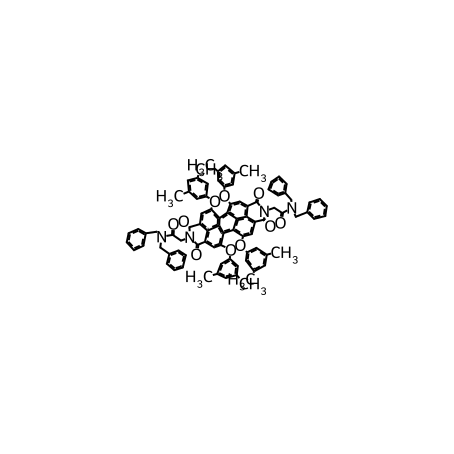 Cc1cc(C)cc(Oc2cc3c4c(cc(Oc5cc(C)cc(C)c5)c5c6c(Oc7cc(C)cc(C)c7)cc7c8c(cc(Oc9cc(C)cc(C)c9)c(c2c45)c86)C(=O)N(CC(=O)N(Cc2ccccc2)Cc2ccccc2)C7=O)C(=O)N(CC(=O)N(Cc2ccccc2)Cc2ccccc2)C3=O)c1